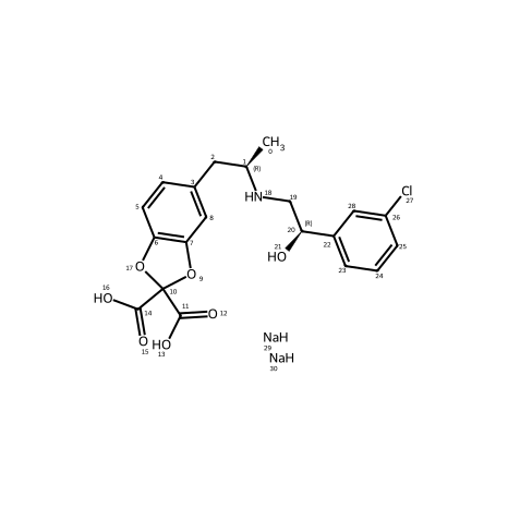 C[C@H](Cc1ccc2c(c1)OC(C(=O)O)(C(=O)O)O2)NC[C@H](O)c1cccc(Cl)c1.[NaH].[NaH]